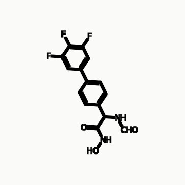 O=CNC(C(=O)NO)c1ccc(-c2cc(F)c(F)c(F)c2)cc1